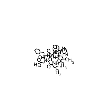 CC[C@H](N)C(=O)C(=O)N(CC(=O)O)C(=O)[C@H](CC1CCCCC1)NC(=O)[C@@H](NC(=O)[C@H](CC(C)C)NC(=O)c1cnccn1)[C@@H](C)CC